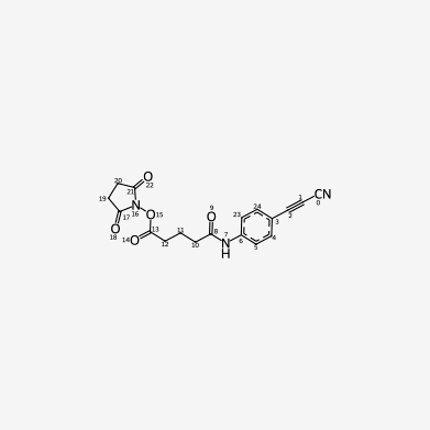 N#CC#Cc1ccc(NC(=O)CCCC(=O)ON2C(=O)CCC2=O)cc1